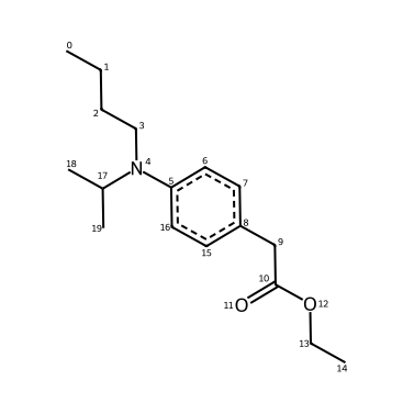 CCCCN(c1ccc(CC(=O)OCC)cc1)C(C)C